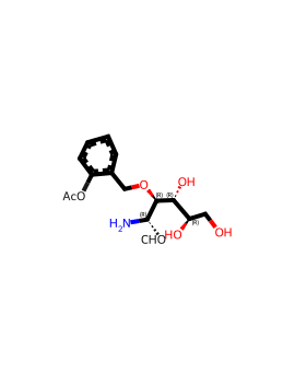 CC(=O)Oc1ccccc1CO[C@@H]([C@H](O)[C@H](O)CO)[C@@H](N)C=O